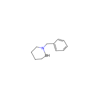 B1CCCCN1Cc1ccccc1